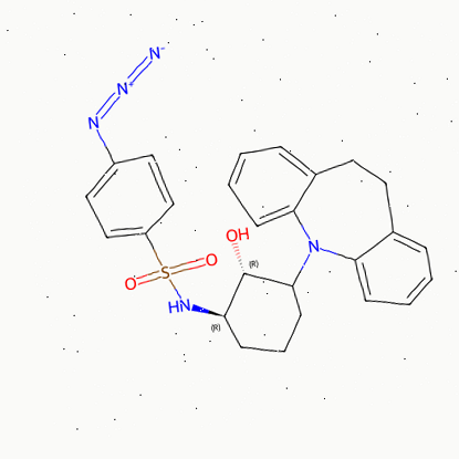 [N-]=[N+]=Nc1ccc(S(=O)(=O)N[C@@H]2CCCC(N3c4ccccc4CCc4ccccc43)[C@H]2O)cc1